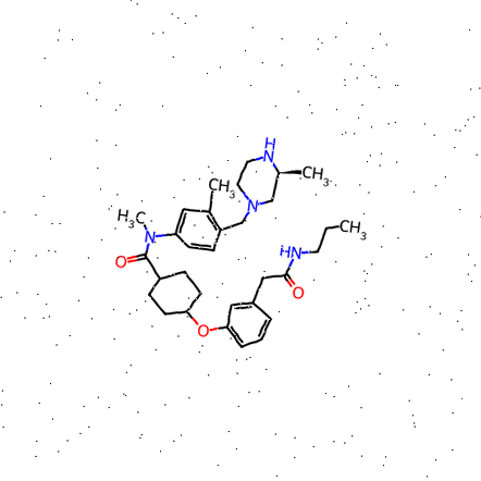 CCCNC(=O)Cc1cccc(OC2CCC(C(=O)N(C)c3ccc(CN4CCN[C@@H](C)C4)c(C)c3)CC2)c1